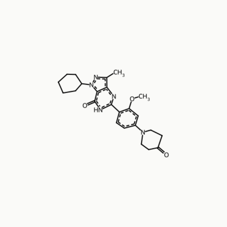 COc1cc(N2CCC(=O)CC2)ccc1-c1nc2c(C)nn(C3CCCCC3)c2c(=O)[nH]1